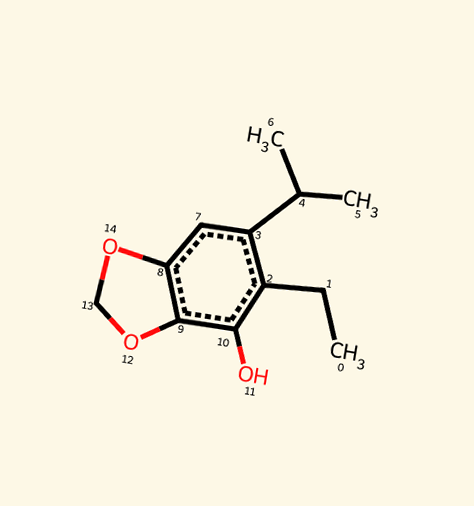 CCc1c(C(C)C)cc2c(c1O)OCO2